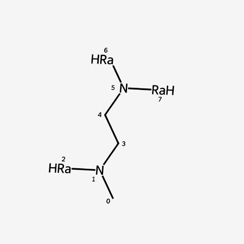 C[N]([RaH])CC[N]([RaH])[RaH]